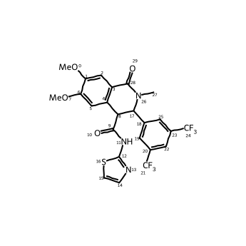 COc1cc2c(cc1OC)C(C(=O)Nc1nccs1)C(c1cc(C(F)(F)F)cc(C(F)(F)F)c1)N(C)C2=O